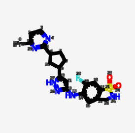 CC(C)c1ccnc(C2CCC(c3cc(Nc4cc5c(cc4F)S(=O)(=O)NC5)n[nH]3)C2)n1